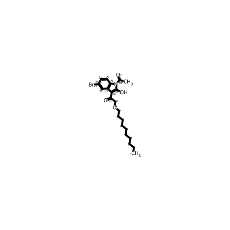 CCCCCCCCCCOCC(=O)c1c(O)n(C(C)=O)c2ccc(Br)cc12